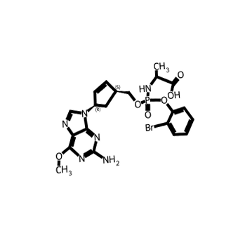 COc1nc(N)nc2c1ncn2[C@H]1C=C[C@@H](COP(=O)(NC(C)C(=O)O)Oc2ccccc2Br)C1